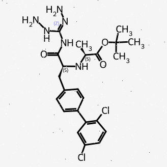 C[C@H](N[C@@H](Cc1ccc(-c2cc(Cl)ccc2Cl)cc1)C(=O)N/C(=N/N)NN)C(=O)OC(C)(C)C